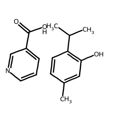 Cc1ccc(C(C)C)c(O)c1.O=C(O)c1cccnc1